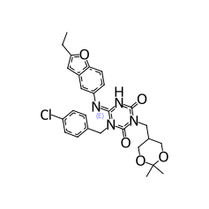 CCc1cc2cc(/N=c3\[nH]c(=O)n(CC4COC(C)(C)OC4)c(=O)n3Cc3ccc(Cl)cc3)ccc2o1